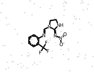 O=[N+]([O-])N=C1NCCN1C=Nc1ccccc1C(F)(F)F